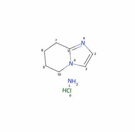 Cl.N.c1cn2c(n1)CCCC2